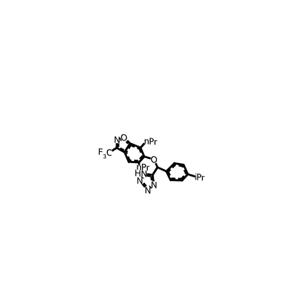 CCCc1cc2c(C(F)(F)F)noc2c(CCC)c1OC(c1ccc(C(C)C)cc1)c1nnn[nH]1